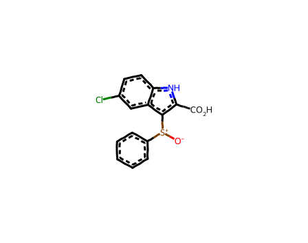 O=C(O)c1[nH]c2ccc(Cl)cc2c1[S+]([O-])c1ccccc1